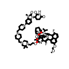 COCOc1cc(-c2ncc3c(N4CC5CCC(C4)N5C(=O)OC(C)(C)C)nc(OCCN4CCN(CC5CCN(CC6CCN(c7ccc8c(c7)n(C)c(=O)n8C7CCC(=O)NC7=O)CC6)CC5)CC4(C)C)nc3c2F)c2c(C#C[Si](C(C)C)(C(C)C)C(C)C)c(F)ccc2c1